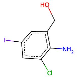 Nc1c(Cl)cc(I)cc1CO